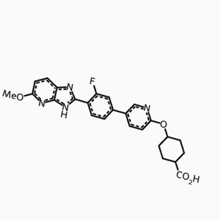 COc1ccc2nc(-c3ccc(-c4ccc(OC5CCC(C(=O)O)CC5)nc4)cc3F)[nH]c2n1